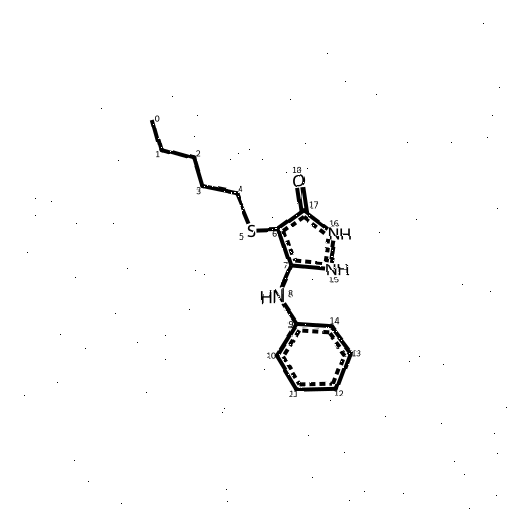 CCCCCSc1c(Nc2ccccc2)[nH][nH]c1=O